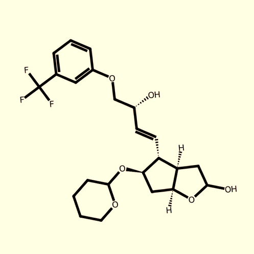 OC1C[C@@H]2[C@@H](/C=C/[C@@H](O)COc3cccc(C(F)(F)F)c3)[C@H](OC3CCCCO3)C[C@@H]2O1